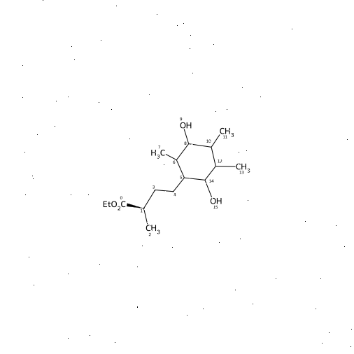 CCOC(=O)[C@H](C)CCC1C(C)C(O)C(C)C(C)C1O